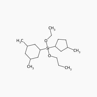 CCCO[Si](OCC)(C1CCC(C)C1)C1CC(C)CC(C)C1